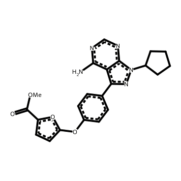 COC(=O)c1ccc(Oc2ccc(-c3nn(C4CCCC4)c4ncnc(N)c34)cc2)o1